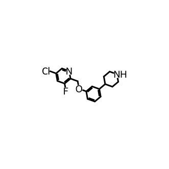 Fc1cc(Cl)cnc1COc1cccc(C2CCNCC2)c1